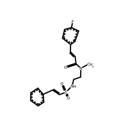 CN(CCNS(=O)(=O)/C=C/c1ccccc1)C(=O)/C=C/c1ccc(F)cc1